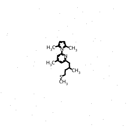 CSCCC(C)Cc1cc(C)cc(-n2c(C)ccc2C)n1